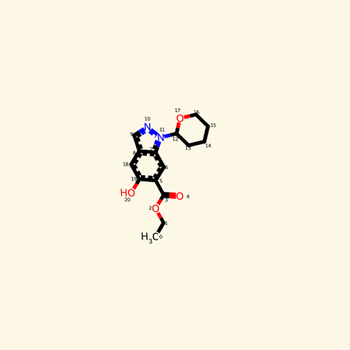 CCOC(=O)c1cc2c(cnn2C2CCCCO2)cc1O